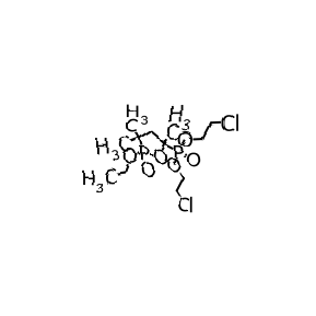 CCOP1(=O)OC(C)(P(=O)(OCCCl)OCCCl)CC1(C)C